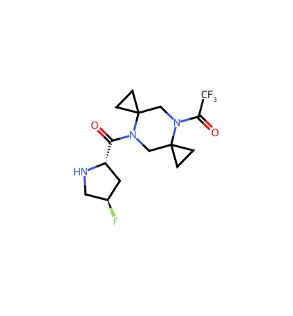 O=C([C@@H]1C[C@@H](F)CN1)N1CC2(CC2)N(C(=O)C(F)(F)F)CC12CC2